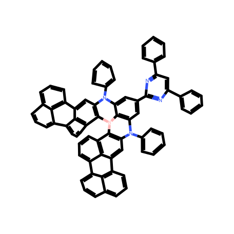 c1ccc(-c2cc(-c3ccccc3)nc(-c3cc4c5c(c3)N(c3ccccc3)c3cc6c7cccc8cccc(c9cccc(c3B5c3c(cc5c%10cccc%11cccc(c%12cccc3c%125)c%11%10)N4c3ccccc3)c96)c87)n2)cc1